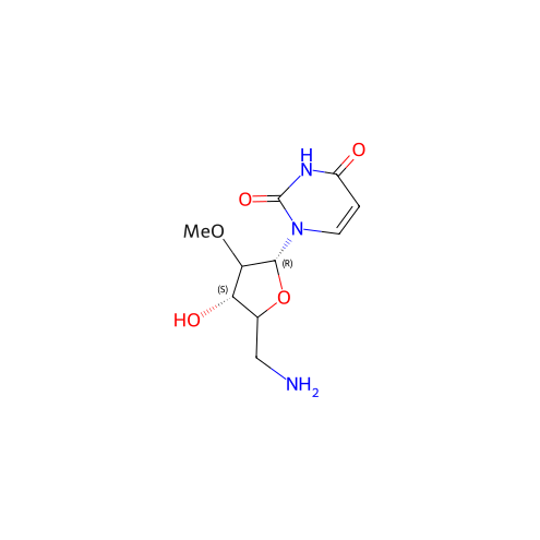 COC1[C@@H](O)C(CN)O[C@H]1n1ccc(=O)[nH]c1=O